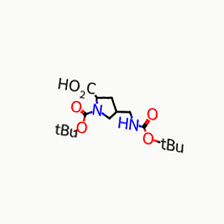 CC(C)(C)OC(=O)NCC1C[C@H](C(=O)O)N(C(=O)OC(C)(C)C)C1